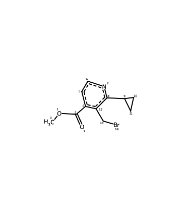 COC(=O)c1ccnc(C2CC2)c1CBr